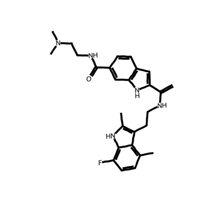 C=C(NCCc1c(C)[nH]c2c(F)ccc(C)c12)c1cc2ccc(C(=O)NCCN(C)C)cc2[nH]1